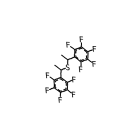 CC(SC(C)c1c(F)c(F)c(F)c(F)c1F)c1c(F)c(F)c(F)c(F)c1F